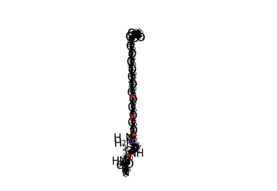 CN1CC(N2C(=O)NC3(CCC(C(=O)Nc4cccc(/C(N)=C/N(N)CCOCCOCCOCCOCCOCCOCCOCCOCCOCCOCCOCCOCCC(=O)ON5C(=O)CCC5=O)c4)CC3)C2=O)C1